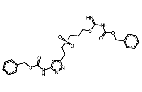 N=C(NC(=O)OCc1ccccc1)SCCCS(=O)(=O)CCc1nnc(NC(=O)OCc2ccccc2)s1